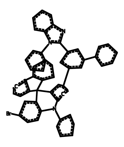 Brc1ccc2c(c1)C1(c3ccccc3-c3ccccc31)c1cc(-c3cc(-c4ccccc4)cc(-c4nc5ccccc5n4-c4ccccc4)c3)ccc1N2c1ccccc1